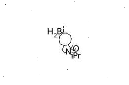 BC1(I)CCCCC2C(CCC1)CCN(C(C)C)C21COC1